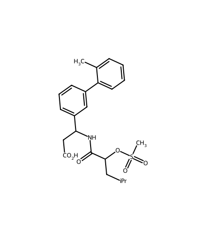 Cc1ccccc1-c1cccc(C(CC(=O)O)NC(=O)C(CC(C)C)OS(C)(=O)=O)c1